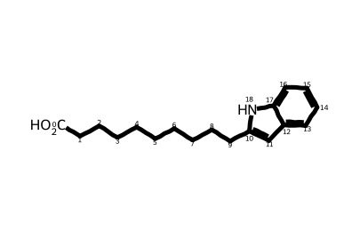 O=C(O)CCCCCCCCCc1cc2ccccc2[nH]1